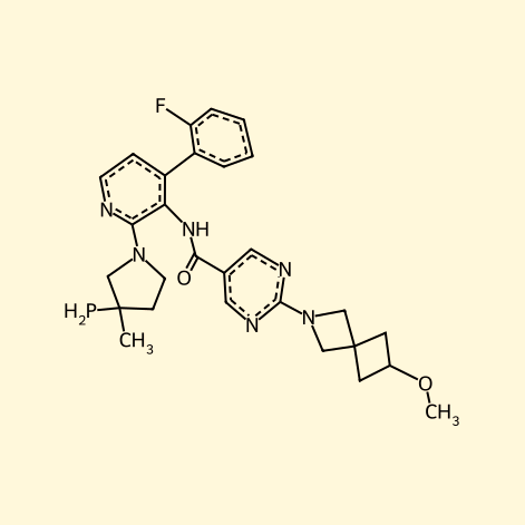 COC1CC2(C1)CN(c1ncc(C(=O)Nc3c(-c4ccccc4F)ccnc3N3CCC(C)(P)C3)cn1)C2